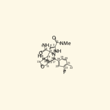 CNC(=O)C1=CC(C(N)=O)(C2[C@H]3COC[C@@H]23)N([C@H](C)c2ccc(C)c(F)c2)N1